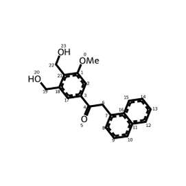 COc1cc(C(=O)Cc2cccc3ccccc23)cc(CO)c1CO